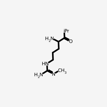 C/N=C(/N)NCCCC(N)C(=O)C(C)C